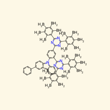 Bc1c(B)c(B)c(-c2nc(-c3ccc(-n4c5ccccc5c5cc(-c6ccccc6)ccc54)c(-c4nc(-c5c(B)c(B)c(B)c(B)c5B)nc(-c5c(B)c(B)c(B)c(B)c5B)n4)c3)nc(-c3c(B)c(B)c(B)c(B)c3B)n2)c(B)c1B